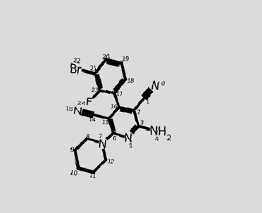 N#Cc1c(N)nc(N2CCCCC2)c(C#N)c1-c1cccc(Br)c1F